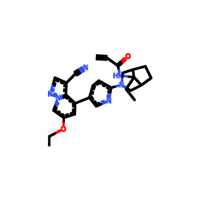 C#CC(=O)NC1(CC)C2CCC1CN(c1ccc(-c3cc(OCC)cn4ncc(C#N)c34)cn1)C2